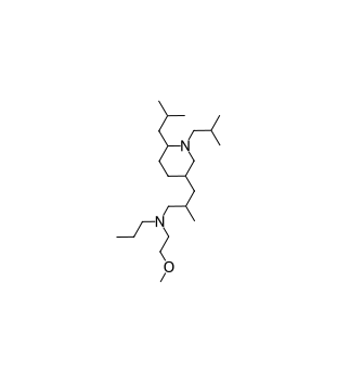 CCCN(CCOC)CC(C)CC1CCC(CC(C)C)N(CC(C)C)C1